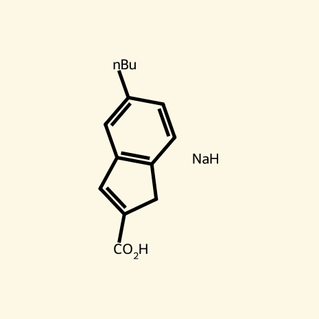 CCCCc1ccc2c(c1)C=C(C(=O)O)C2.[NaH]